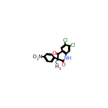 CC1(c2ccc([N+](=O)[O-])cc2)C(=O)Nc2cc(Cl)c(Cl)cc2C1=O